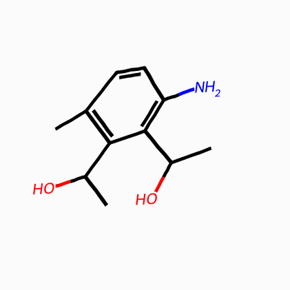 Cc1ccc(N)c(C(C)O)c1C(C)O